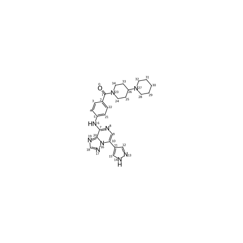 O=C(c1ccc(Nc2ncc(-c3cn[nH]c3)n3ncnc23)cc1)N1CCC(N2CCCCC2)CC1